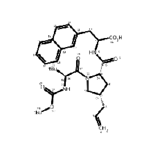 C=CC[C@H]1C[C@@H](C(=O)NC(Cc2ccc3ccccc3c2)C(=O)O)N(C(=O)[C@@H](NC(=O)OC(C)(C)C)C(C)(C)C)C1